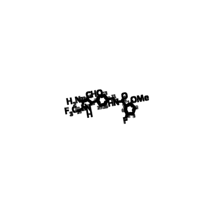 COc1ccc(F)cc1C(=O)NCc1ccc(C2NN(CC(F)(F)F)C(N)=C2C=O)cc1